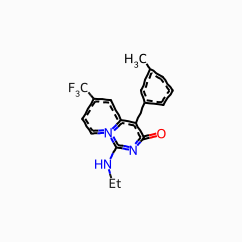 CCNc1nc(=O)c(-c2cccc(C)c2)c2cc(C(F)(F)F)ccn12